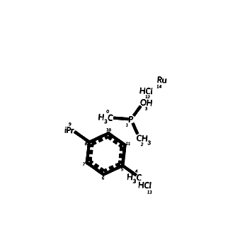 CP(C)O.Cc1ccc(C(C)C)cc1.Cl.Cl.[Ru]